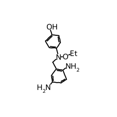 CCON(Cc1cc(N)ccc1N)c1ccc(O)cc1